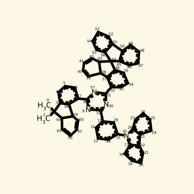 CC1(C)c2cccc(-c3nc(-c4cccc(-n5c6ccccc6c6ccccc65)c4)nc(-c4cccc5c4C4C=CC=CC4C54c5ccccc5-c5ccccc54)n3)c2C2C=CC=CC21